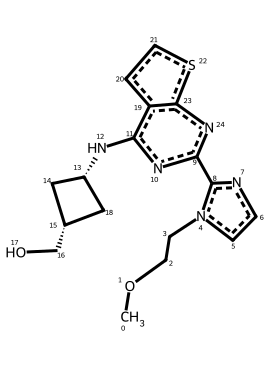 COCCn1ccnc1-c1nc(N[C@H]2C[C@@H](CO)C2)c2ccsc2n1